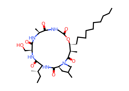 CCCCCCCCCC[C@H]1OC(=O)CNC(=O)[C@H](C)NC(=O)[C@H](CO)NC(=O)[C@H]([C@@H](C)CC)NC(=O)[C@H](CC(C)C)N(C)C(=O)[C@@H]1C